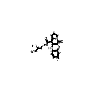 O=C(NOCC(O)CO)c1c(Nc2ccc(I)cc2F)cc(=O)n2c1CCC2